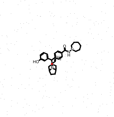 C=CCN1C2CCC1CN(C(c1ccc(C(=O)NN3CCCCCC3)cc1)c1cccc(O)c1)C2